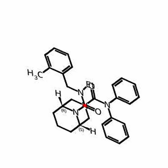 CCN(Cc1ccccc1C)C(=O)N1[C@@H]2CCC[C@H]1CN(C(=O)N(c1ccccc1)c1ccccc1)C2